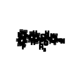 CC(C)(C(=O)Nc1ccc(C#N)cn1)[C@H]1C[C@H]2C[C@@H](c3ccnc4ccc(F)cc34)C[C@H]2C1